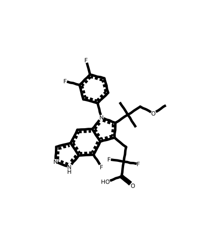 COCC(C)(C)c1c(CC(F)(F)C(=O)O)c2c(F)c3[nH]ncc3cc2n1-c1ccc(F)c(F)c1